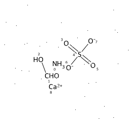 N.O=CO.O=S(=O)([O-])[O-].[Ca+2]